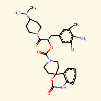 CN(C)C1CCN(C(=O)[C@@H](Cc2cc(Cl)c(N)c(C(F)(F)F)c2)OC(=O)N2CCC3(CC2)OC(=O)Nc2ccccc23)CC1